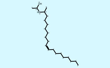 CCCCCCCC/C=C\CCCCCCCC(C)NC(C)O